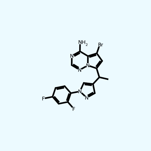 CC(c1cnn(-c2ccc(F)cc2F)c1)c1cc(Br)c2c(N)ncnn12